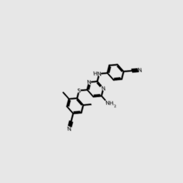 Cc1cc(C#N)cc(C)c1Sc1cc(N)nc(Nc2ccc(C#N)cc2)n1